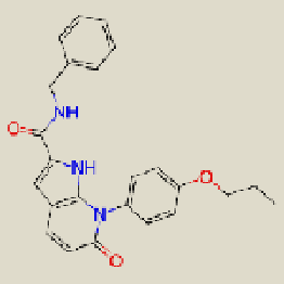 CCCOc1ccc(-n2c(=O)ccc3cc(C(=O)NCc4ccccc4)[nH]c32)cc1